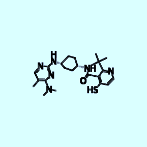 Cc1cnc(N[C@H]2CC[C@@H](NC(=O)c3c(S)ccnc3C(C)(C)C)CC2)nc1N(C)C